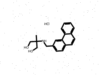 CC(CO)(CO)NCc1ccc2ccc3ccccc3c2c1.Cl